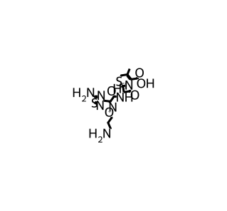 CC1=C(C(=O)O)N2C(=O)C(NC(=O)C(=NOCCCN)c3nsc(N)n3)[C@@H]2SC1